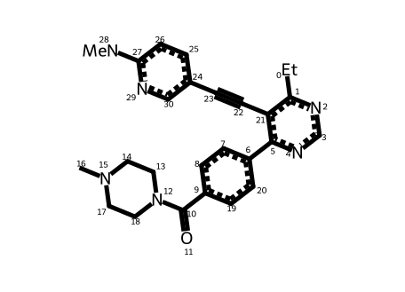 CCc1ncnc(-c2ccc(C(=O)N3CCN(C)CC3)cc2)c1C#Cc1ccc(NC)nc1